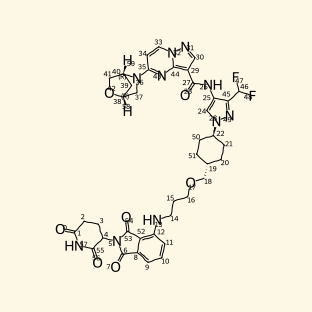 O=C1CCC(N2C(=O)c3cccc(NCCCOC[C@H]4CC[C@H](n5cc(NC(=O)c6cnn7ccc(N8C[C@H]9C[C@@H]8CO9)nc67)c(C(F)F)n5)CC4)c3C2=O)C(=O)N1